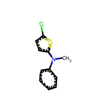 CN(c1ccccc1)c1ccc(Cl)s1